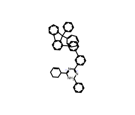 N/C(=N\C(=N/Cc1ccccc1)c1cccc(-c2cccc(-c3cccc4c3C(C3=CC=CCC=C3)(c3ccccc3)c3ccccc3-4)c2)c1)C1C=CCCC1